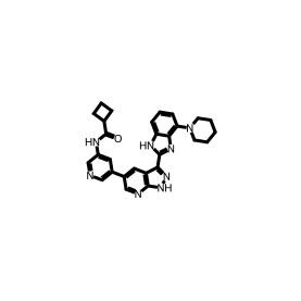 O=C(Nc1cncc(-c2cnc3[nH]nc(-c4nc5c(N6CCCCC6)cccc5[nH]4)c3c2)c1)C1CCC1